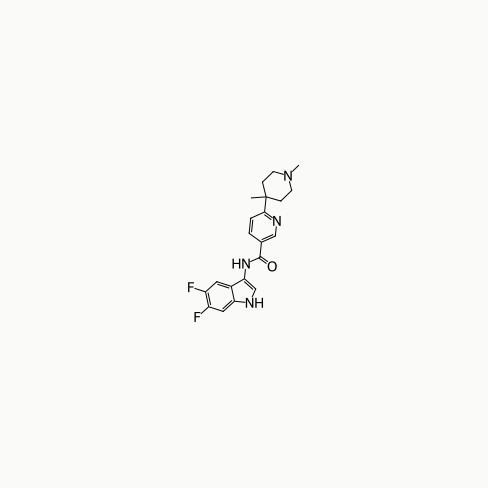 CN1CCC(C)(c2ccc(C(=O)Nc3c[nH]c4cc(F)c(F)cc34)cn2)CC1